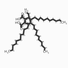 CCCCCCCCCCc1c(CCCCCCCCCC)c(CCCCCCCCCC)c(C(=O)O)c(C(=O)O)c1CC